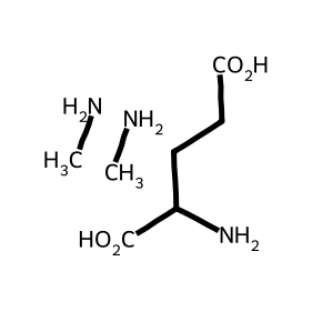 CN.CN.NC(CCC(=O)O)C(=O)O